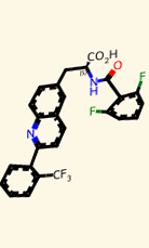 O=C(N[C@@H](Cc1ccc2nc(-c3ccccc3C(F)(F)F)ccc2c1)C(=O)O)c1c(F)cccc1F